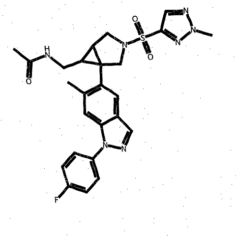 CC(=O)NCC1C2CN(S(=O)(=O)c3cnn(C)n3)CC12c1cc2cnn(-c3ccc(F)cc3)c2cc1C